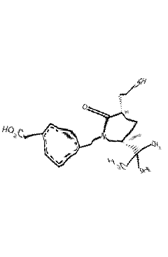 CC(C)(S)[C@H]1C[C@@H](CS)C(=O)N1Cc1ccc(C(=O)O)cc1